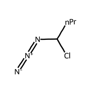 CCCC(Cl)N=[N+]=[N-]